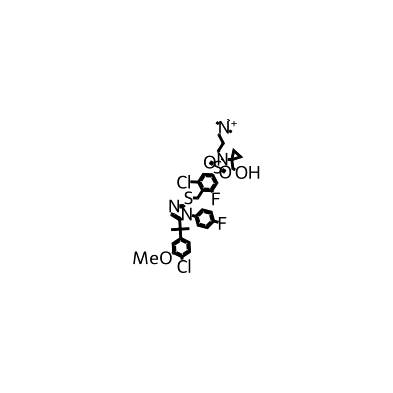 COc1cc(C(C)(C)c2cnc(SCc3c(F)cc(S(=O)(=O)N(CCC[N+](C)(C)C)C4(CO)CC4)cc3Cl)n2-c2ccc(F)cc2)ccc1Cl